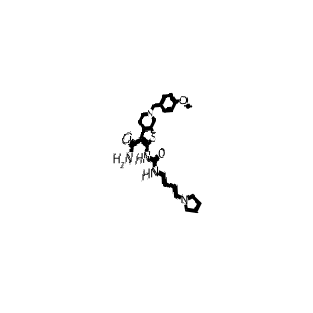 COc1ccc(CN2CCc3c(sc(NC(=O)NCCCCN4CCCC4)c3C(N)=O)C2)cc1